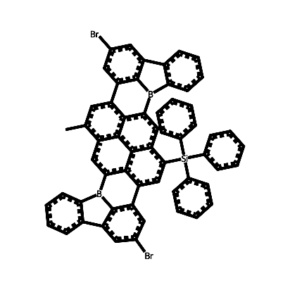 Cc1cc2c3c(cc4c([Si](c5ccccc5)(c5ccccc5)c5ccccc5)cc5c6c(cc1c3c46)B1c3ccccc3-c3cc(Br)cc-5c31)B1c3ccccc3-c3cc(Br)cc-2c31